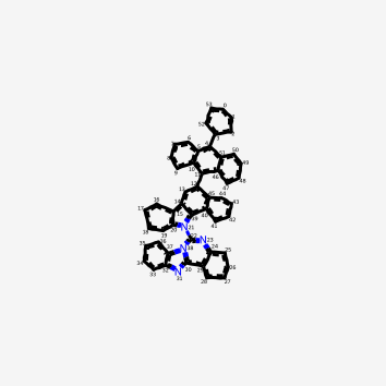 c1ccc(-c2c3ccccc3c(-c3cc4c5ccccc5n(-c5nc6ccccc6c6nc7ccccc7n56)c4c4ccccc34)c3ccccc23)cc1